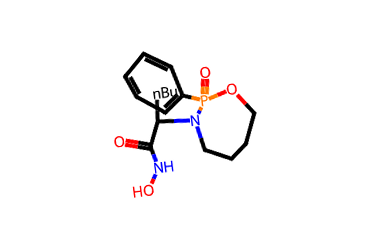 CCCCC(C(=O)NO)N1CCCCOP1(=O)c1ccccc1